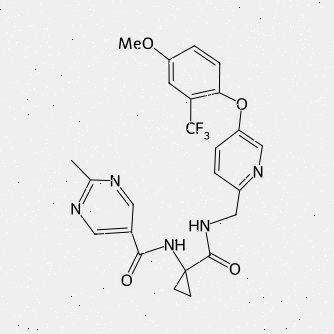 COc1ccc(Oc2ccc(CNC(=O)C3(NC(=O)c4cnc(C)nc4)CC3)nc2)c(C(F)(F)F)c1